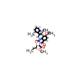 CCCC[C@@H](C(=O)OC)n1c(=O)c2ccc(OC)cc2n(Cc2cn(C)c3cccc(C)c23)c1=O